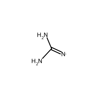 [N]=C(N)N